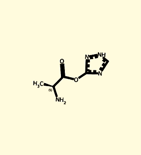 C[C@H](N)C(=O)Oc1nc[nH]n1